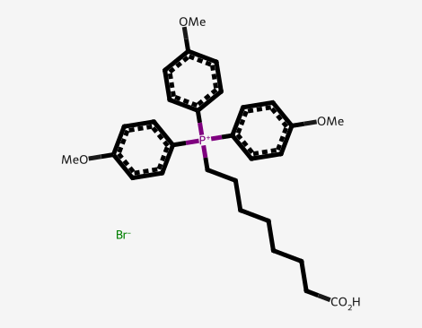 COc1ccc([P+](CCCCCCCC(=O)O)(c2ccc(OC)cc2)c2ccc(OC)cc2)cc1.[Br-]